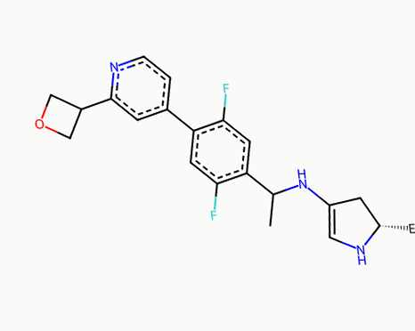 CC[C@H]1CC(NC(C)c2cc(F)c(-c3ccnc(C4COC4)c3)cc2F)=CN1